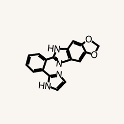 c1ccc(-c2nc3cc4c(cc3[nH]2)OCO4)c(-c2ncc[nH]2)c1